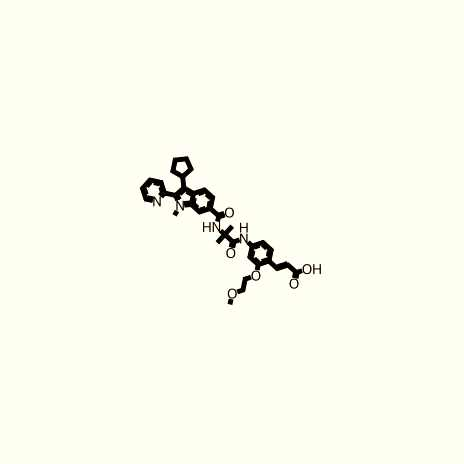 COCCOc1cc(NC(=O)C(C)(C)NC(=O)c2ccc3c(C4CCCC4)c(-c4ccccn4)n(C)c3c2)ccc1C=CC(=O)O